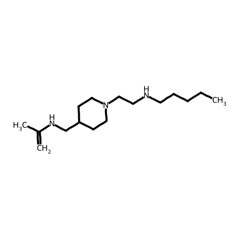 C=C(C)NCC1CCN(CCNCCCCC)CC1